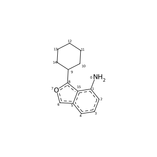 Nc1cccc2coc(C3CCCCC3)c12